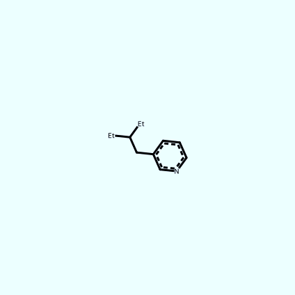 CCC(CC)Cc1cccnc1